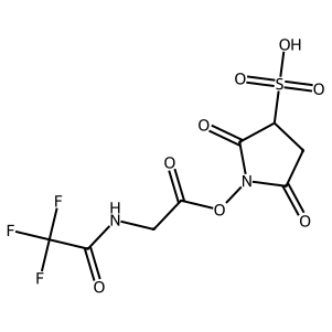 O=C(CNC(=O)C(F)(F)F)ON1C(=O)CC(S(=O)(=O)O)C1=O